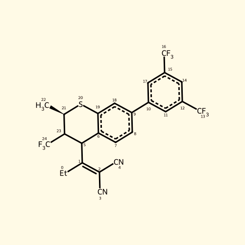 CCC(=C(C#N)C#N)C1c2ccc(-c3cc(C(F)(F)F)cc(C(F)(F)F)c3)cc2S[C@H](C)C1C(F)(F)F